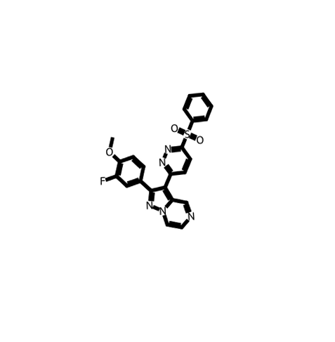 COc1ccc(-c2nn3ccncc3c2-c2ccc(S(=O)(=O)c3ccccc3)nn2)cc1F